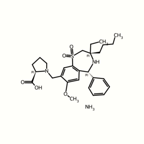 CCCC[C@]1(CC)CS(=O)(=O)c2cc(CN3CCC[C@@H]3C(=O)O)c(OC)cc2[C@@H](c2ccccc2)N1.N